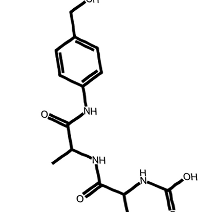 CC(NC(=O)O)C(=O)NC(C)C(=O)Nc1ccc(CO)cc1